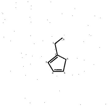 C[CH]C1=CC=CC1